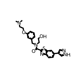 CN(C)CCOc1cccc(CN(CCO)C(=O)c2nc3ccc(-c4cn[nH]c4)cc3s2)c1